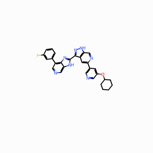 Fc1cccc(-c2cncc3[nH]c(-c4n[nH]c5cnc(-c6cncc(OC7CCCCC7)c6)cc45)nc23)c1